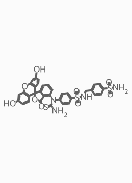 NC(=S)N(c1ccc(S(=O)(=O)NCc2ccc(S(N)(=O)=O)cc2)cc1)c1cccc2c1C(=O)OC21c2ccc(O)cc2Oc2cc(O)ccc21